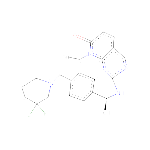 C[C@H](Nc1ncc2ccc(=O)n(CC(C)(C)C)c2n1)c1ccc(CN2CCCC(F)(F)C2)cc1